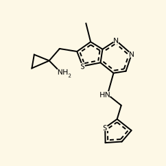 Cc1c(CC2(N)CC2)sc2c(NCc3cccs3)cnnc12